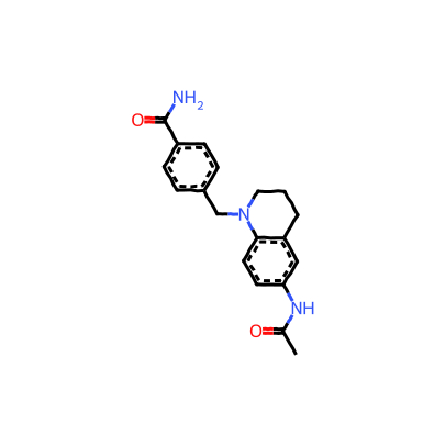 CC(=O)Nc1ccc2c(c1)CCCN2Cc1ccc(C(N)=O)cc1